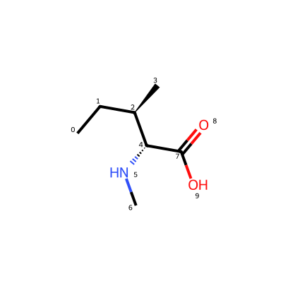 CC[C@@H](C)[C@@H](NC)C(=O)O